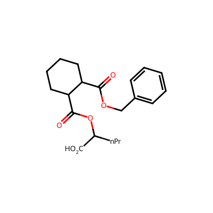 CCCC(OC(=O)C1CCCCC1C(=O)OCc1ccccc1)C(=O)O